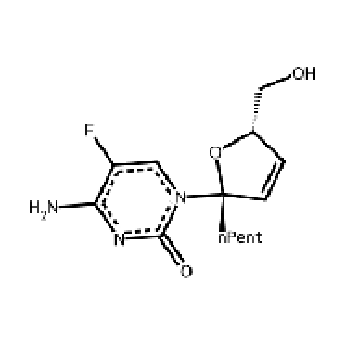 CCCCC[C@]1(n2cc(F)c(N)nc2=O)C=C[C@@H](CO)O1